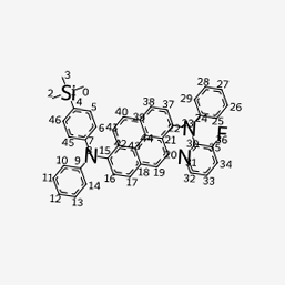 C[Si](C)(C)c1ccc(N(c2ccccc2)c2ccc3ccc4c(N(c5ccccc5)c5ncccc5F)ccc5ccc2c3c54)cc1